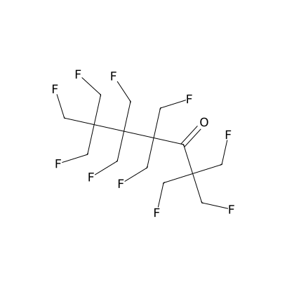 O=C(C(CF)(CF)CF)C(CF)(CF)C(CF)(CF)C(CF)(CF)CF